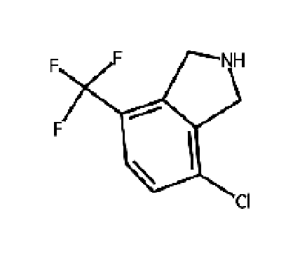 FC(F)(F)c1ccc(Cl)c2c1CNC2